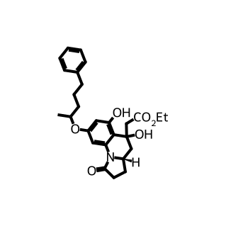 CCOC(=O)CC1(O)C[C@@H]2CCC(=O)N2c2cc(OC(C)CCCc3ccccc3)cc(O)c21